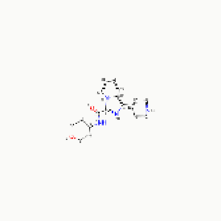 O=C(NC1CCOCC1)c1nc(-c2ccncc2)c2ccccn12